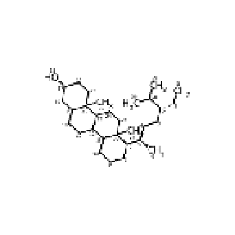 CC[C@H](CC[C@@H](C)C1CCCC2C3CCC4CC(O)CC[C@]4(C)C3CC[C@@]21C)C(C)C